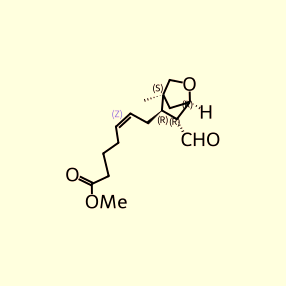 COC(=O)CCC/C=C\C[C@@H]1[C@@H](C=O)[C@H]2C[C@]1(C)CO2